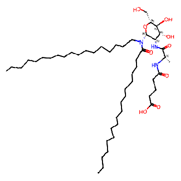 CCCCCCCCCCCCCCCCCCN(C(=O)CCCCCCCCCCCCCCCCC)[C@@H]1O[C@H](CO)[C@@H](O)[C@H](O)[C@@H]1NC(=O)[C@H](C)NC(=O)CCCC(=O)O